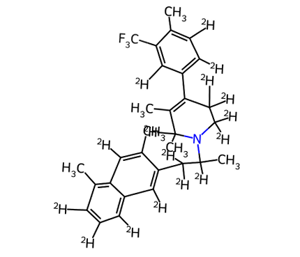 [2H]c1c([2H])c(C2=C(C)C([2H])(C)N(C([2H])(C)C([2H])([2H])c3c(C)c([2H])c4c(C)c([2H])c([2H])c([2H])c4c3[2H])C([2H])([2H])C2([2H])[2H])c([2H])c(C(F)(F)F)c1C